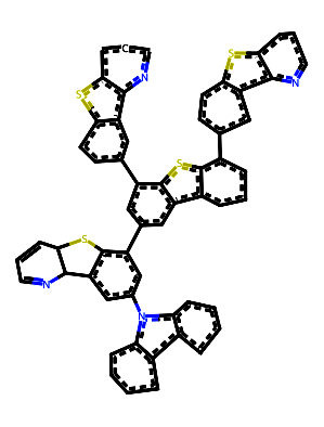 C1=CC2Sc3c(-c4cc(-c5ccc6sc7cccnc7c6c5)c5sc6c(-c7ccc8sc9cccnc9c8c7)cccc6c5c4)cc(-n4c5ccccc5c5ccccc54)cc3C2N=C1